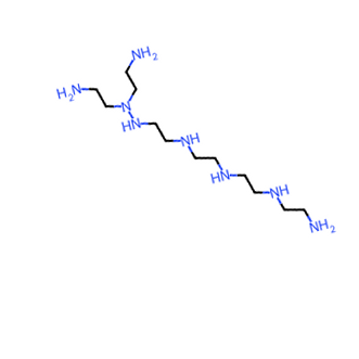 NCCNCCNCCNCCNN(CCN)CCN